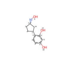 ON=C1CCC(c2ccc(O)cc2O)C1